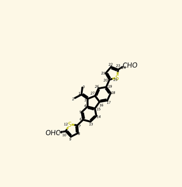 CC(C)=C1c2cc(-c3ccc(C=O)s3)ccc2-c2ccc(-c3ccc(C=O)s3)cc21